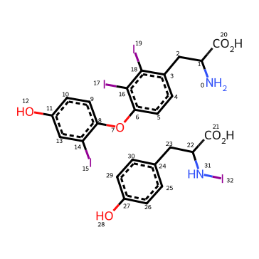 NC(Cc1ccc(Oc2ccc(O)cc2I)c(I)c1I)C(=O)O.O=C(O)C(Cc1ccc(O)cc1)NI